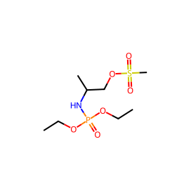 CCOP(=O)(NC(C)COS(C)(=O)=O)OCC